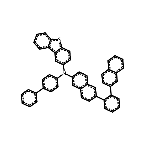 c1ccc(-c2ccc(N(c3ccc4cc(-c5ccccc5-c5ccc6ccccc6c5)ccc4c3)c3ccc4sc5ccccc5c4c3)cc2)cc1